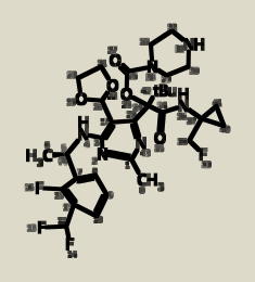 Cc1nc(N[C@H](C)c2cccc(C(F)F)c2F)c(C2OCCO2)c(C(OC(=O)N2CCNCC2)(C(=O)NC2(CF)CC2)C(C)(C)C)n1